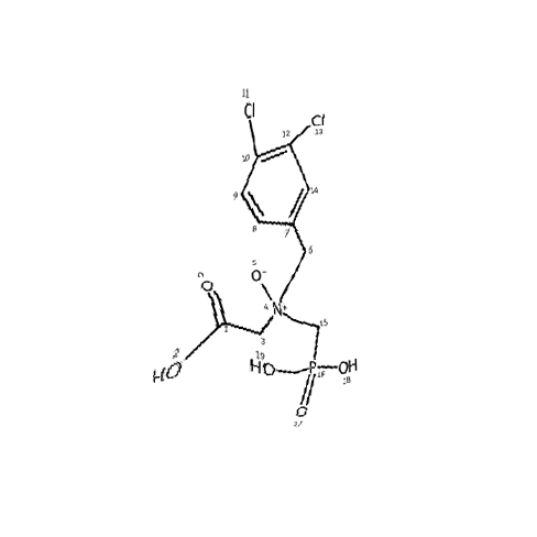 O=C(O)C[N+]([O-])(Cc1ccc(Cl)c(Cl)c1)CP(=O)(O)O